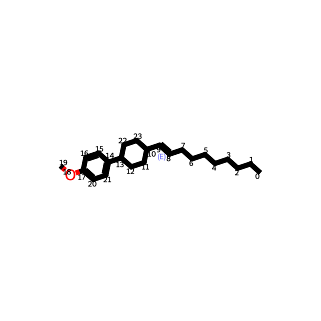 CCCCCCCC/C=C/C1CCC(c2ccc(OC)cc2)CC1